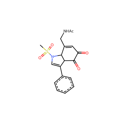 CC(=O)NCC1=CC(=O)C(=O)C2C(c3ccccc3)=CN(S(C)(=O)=O)C12